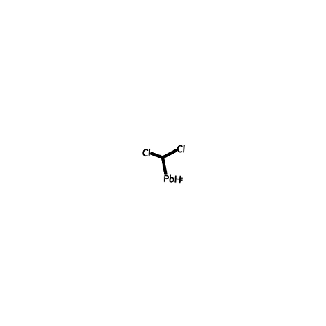 Cl[CH](Cl)[PbH]